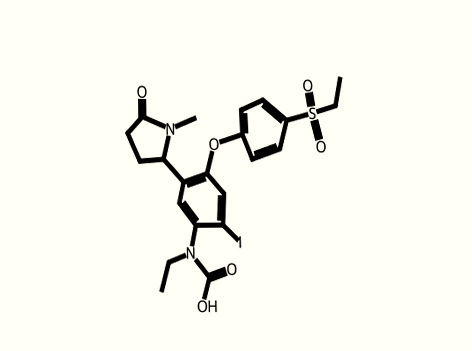 CCN(C(=O)O)c1cc(C2CCC(=O)N2C)c(Oc2ccc(S(=O)(=O)CC)cc2)cc1I